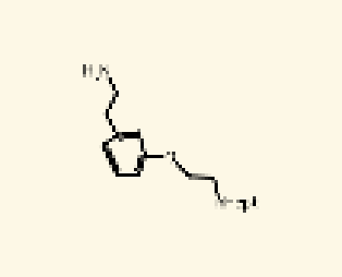 CCCCCCCCCOc1cccc(CCN)c1